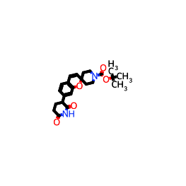 CC(C)(C)OC(=O)N1CCC2(C=Cc3ccc(C4CCC(=O)NC4=O)cc3O2)CC1